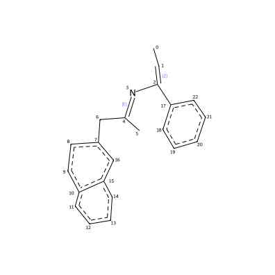 C/C=C(\N=C(/C)Cc1ccc2ccccc2c1)c1ccccc1